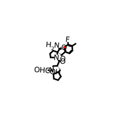 Cc1ccc(C(=O)[C@@]2(C(N)=O)CCCN2C(=O)[C@H](CC2CCCC2)CN(O)C=O)cc1F